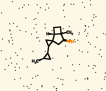 C[C@@H]1CC1C1CC12CC(=P)C1(C)CC[C@H]12